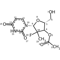 CC(=O)OC1[C@@H](CO)O[C@@H](n2ccc(=O)[nH]c2=O)C1(C)F